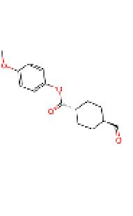 COc1ccc(OC(=O)[C@H]2CC[C@H](C=O)CC2)cc1